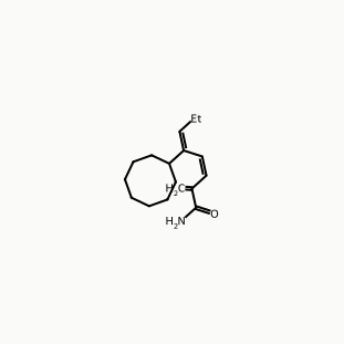 C=C(/C=C\C(=C/CC)C1CCCCCCC1)C(N)=O